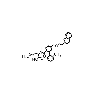 CSCCC(NC(=O)c1ccc(COCCc2ccc3ccccc3c2)cc1-c1ccccc1C)C(=O)O